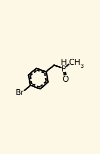 C[PH](=O)Cc1ccc(Br)cc1